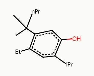 CCCC(C)(C)c1cc(O)c(C(C)C)cc1CC